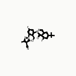 CC(C)(C)c1cc(F)c2c(=O)n(-c3cc(F)cc(-n4cc(C#N)c(I)n4)c3CO)ncc2c1